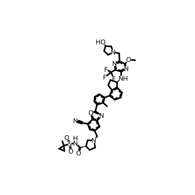 COc1nc(N[C@@H]2CCc3c(-c4cccc(-c5nc6cc(CN7CC[C@@H](C(=O)NS(=O)(=O)C8(C)CC8)C7)cc(C#N)c6o5)c4C)cccc32)c(C(F)(F)F)nc1CN1CC[C@@H](O)C1